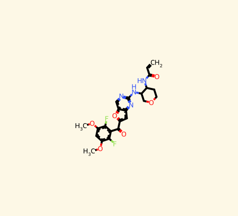 C=CC(=O)NC1CCOCC1Nc1ncc2oc(C(=O)c3c(F)c(OC)cc(OC)c3F)cc2n1